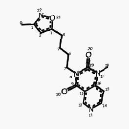 Cc1cc(CCCCn2c(=O)c3cnccc3n(C)c2=O)on1